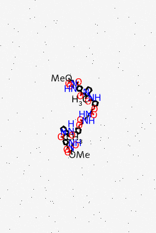 COC(=O)Cn1c(=O)[nH]c2cc(C(=O)c3c(C)c(NC(=O)c4cccc(OCC(=O)NCCNC(=O)COc5cccc(C(=O)Nc6c(C)c(C(=O)c7ccc8c(=O)n(CC(=O)OC)c(=O)[nH]c8c7)n7ccccc67)c5)c4)c4ccccn34)ccc2c1=O